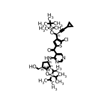 CC(C)[Si](O[C@H]1C[C@H](Nc2ncncc2C(=O)c2cc([C@H](C#CC3CC3)O[Si](C)(C)C(C)(C)C)c(Cl)s2)C[C@@H]1CO)(C(C)C)C(C)C